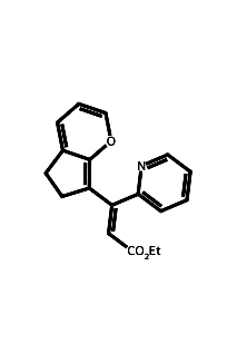 CCOC(=O)C=C(C1=C2OC=CC=C2CC1)c1ccccn1